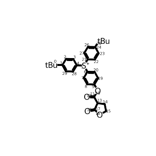 CC(C)(C)c1ccc([S+](c2ccc(OC(=O)C3CCOC3=O)cc2)c2ccc(C(C)(C)C)cc2)cc1